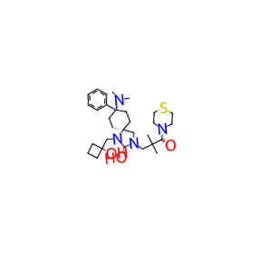 CN(C)[C@]1(c2ccccc2)CC[C@]2(CC1)CN(CC(C)(C)C(=O)N1CCSCC1)C(O)N2CC1(O)CCC1